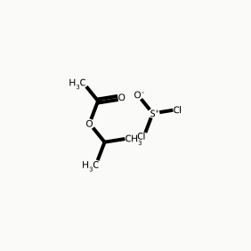 CC(=O)OC(C)C.[O-][S+](Cl)Cl